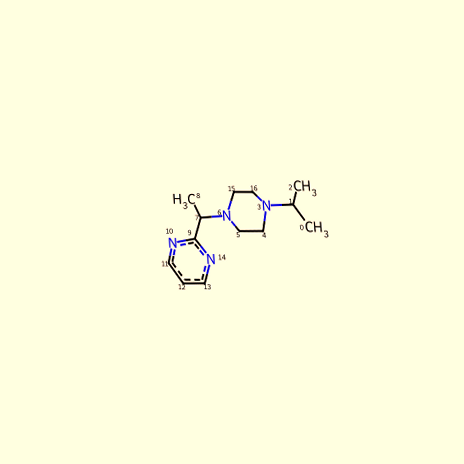 CC(C)N1CCN(C(C)c2ncccn2)CC1